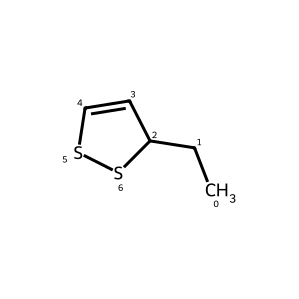 CCC1C=CSS1